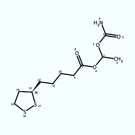 CC(OC(N)=O)OC(=O)CCCC[C@@H]1CCSS1